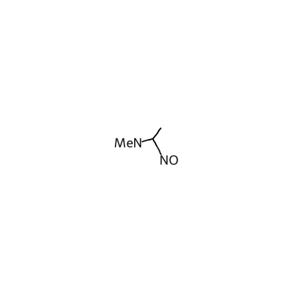 CNC(C)N=O